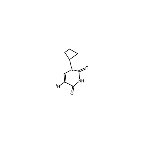 [2H]c1cn(C2CCC2)c(=O)[nH]c1=O